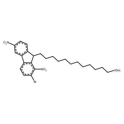 CCCCCCCCCCCCCCCCCCCCCCC1c2ccc([N+](=O)[O-])cc2-c2ccc(Br)c([N+](=O)[O-])c21